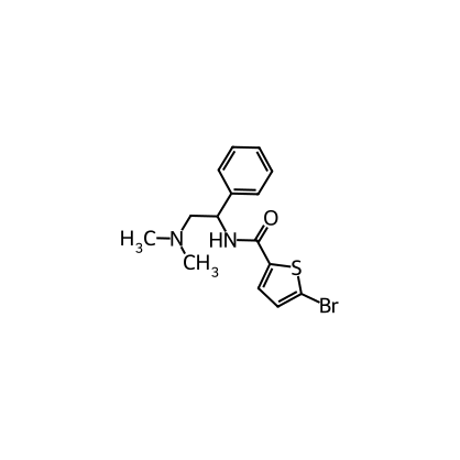 CN(C)CC(NC(=O)c1ccc(Br)s1)c1ccccc1